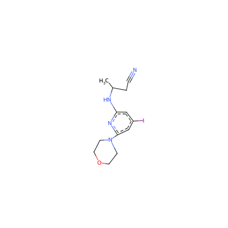 CC(CC#N)Nc1cc(I)cc(N2CCOCC2)n1